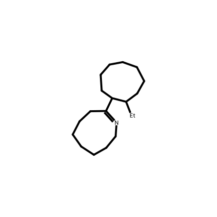 CCC1CCCCCCCC1/C1=N/CCCCCCC1